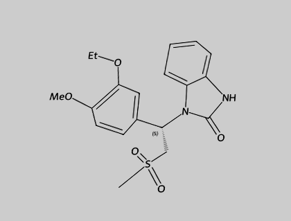 CCOc1cc([C@@H](CS(C)(=O)=O)n2c(=O)[nH]c3ccccc32)ccc1OC